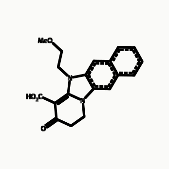 COCCN1C2=C(C(=O)O)C(=O)CCN2c2cc3ccccc3cc21